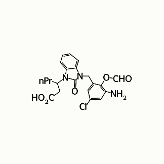 CCCC(CC(=O)O)n1c(=O)n(Cc2cc(Cl)cc(N)c2OC=O)c2ccccc21